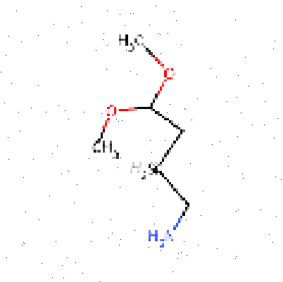 COC(C[SiH2]CN)OC